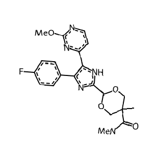 CNC(=O)C1(C)COC(c2nc(-c3ccc(F)cc3)c(-c3ccnc(OC)n3)[nH]2)OC1